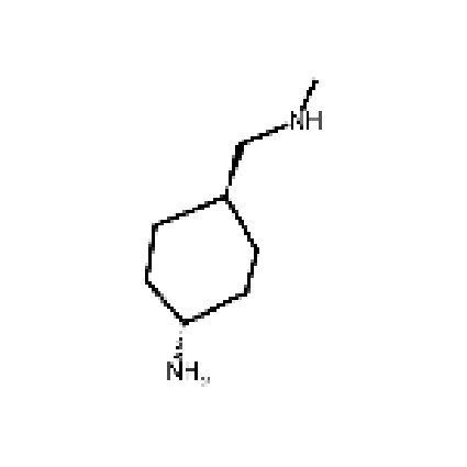 CNC[C@H]1CC[C@H](N)CC1